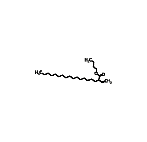 C=CC(CCCCCCCCCCCCCCCC)C(=O)OCCCC